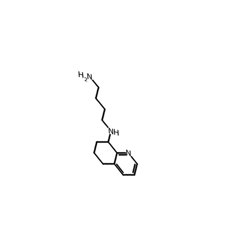 NCCCCNC1CCCc2cccnc21